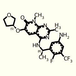 Cc1nc(N[C@H](C)c2cc(N)cc(C(F)(F)F)c2F)c2cc(O[C@H]3CCOC3)c(=O)n(C)c2n1